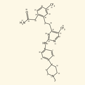 CN1CCC(c2ccc(Nc3ncc(C(F)(F)F)c(CCc4cc(C(F)(F)F)ccc4CC(N)=O)n3)cc2)CC1